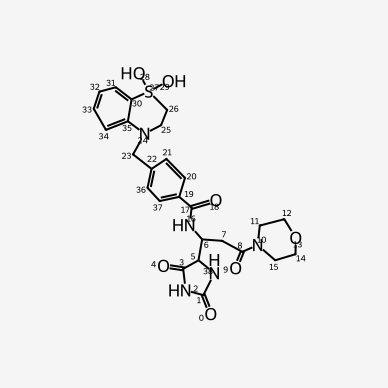 O=C1NC(=O)C(C(CC(=O)N2CCOCC2)NC(=O)c2ccc(CN3CCS(O)(O)c4ccccc43)cc2)N1